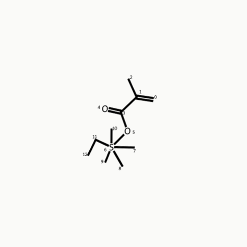 C=C(C)C(=O)OS(C)(C)(C)(C)CC